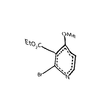 CCOC(=O)c1c(OC)ccnc1Br